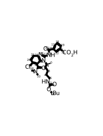 C[C@@H](CCCCNC(=O)OC(C)(C)C)n1c(NC(=O)c2cccc(C(=O)O)c2)nc2ccc(Cl)c(C(=O)N(C)C)c21